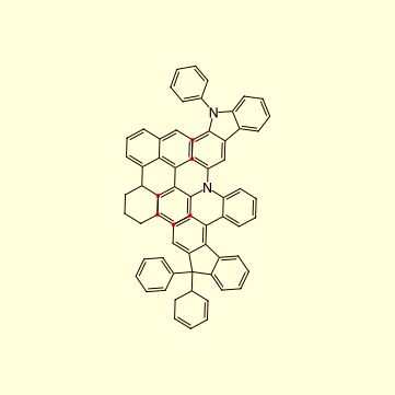 C1=CCC(C2(c3ccccc3)c3ccccc3-c3c(-c4ccccc4N(c4ccc5c(c4)c4ccccc4n5-c4ccccc4)c4ccccc4-c4cccc5cccc(C6CCCCC6)c45)cccc32)C=C1